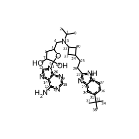 CC(C)N(CC1CC(O)C(O)(n2cnc3c(N)ncnc32)O1)C1CC(CCc2nc3cc(C(C)(C)C)ccc3[nH]2)C1